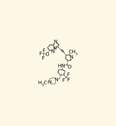 Cc1ncc(C(=O)Nc2ccc(CN3CCN(C)CC3)c(C(F)(F)F)c2)cc1C#Cc1cnc2ccc(OC(F)(F)F)nn12